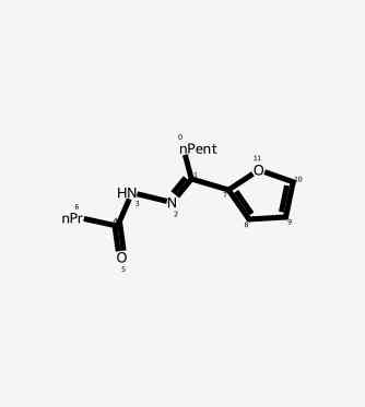 CCCCCC(=NNC(=O)CCC)c1ccco1